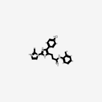 [2H]C(CCc1oc(-n2ccnc2C)nc1-c1ccc(Cl)cc1)Oc1ccccc1C